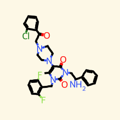 Cc1c(N2CCN(CC(=O)c3ccccc3Cl)CC2)c(=O)n(CC(N)c2ccccc2)c(=O)n1Cc1c(F)cccc1F